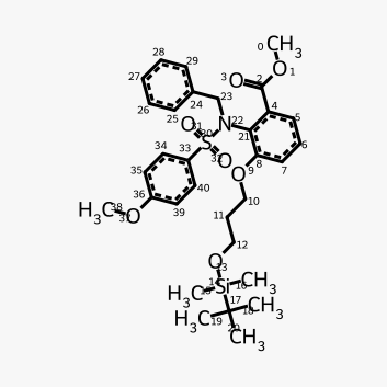 COC(=O)c1cccc(OCCCO[Si](C)(C)C(C)(C)C)c1N(Cc1ccccc1)S(=O)(=O)c1ccc(OC)cc1